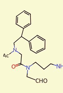 CC(=O)N(CC(=O)N(CC=O)CCCN)CC(c1ccccc1)c1ccccc1